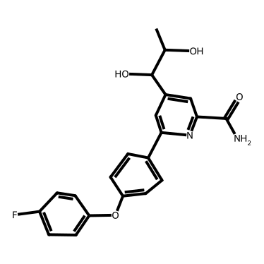 CC(O)C(O)c1cc(C(N)=O)nc(-c2ccc(Oc3ccc(F)cc3)cc2)c1